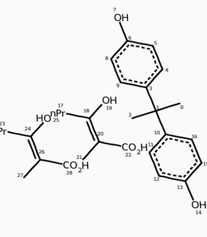 CC(C)(c1ccc(O)cc1)c1ccc(O)cc1.CCCC(O)=C(C)C(=O)O.CCCC(O)=C(C)C(=O)O